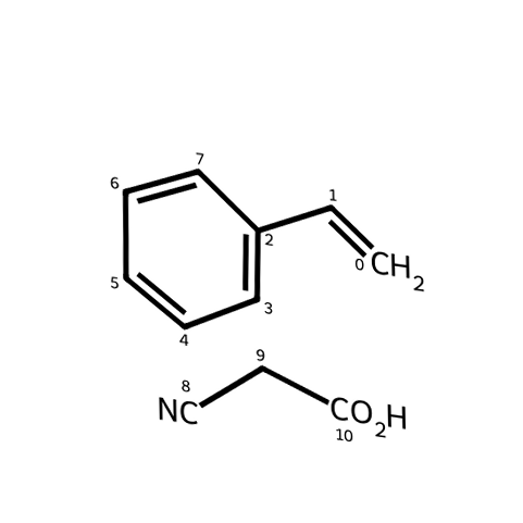 C=Cc1ccccc1.N#CCC(=O)O